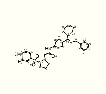 O=C(CC1CCCN1S(=O)(=O)c1ccc(Cl)c(Cl)c1)NC1CCC(C(CCc2ccccc2)N2CCOCC2)CC1